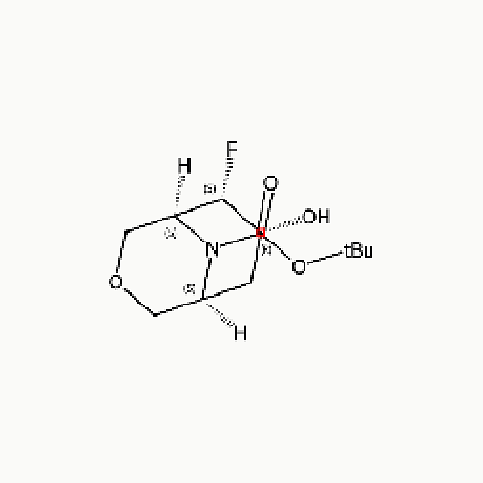 CC(C)(C)OC(=O)N1[C@@H]2COC[C@H]1[C@H](F)[C@H](O)C2